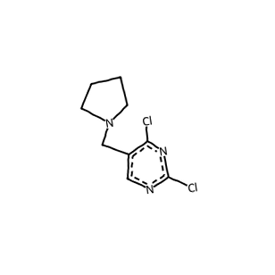 Clc1ncc(CN2CCCC2)c(Cl)n1